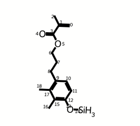 C=C(C)C(=O)OCCCc1ccc(O[SiH3])c(C)c1C